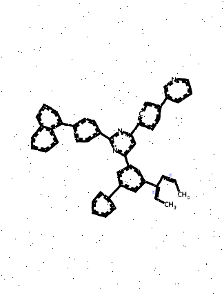 C/C=C\C(=C/C)c1cc(-c2ccccc2)cc(-c2cc(-c3ccc(-c4cccnc4)cc3)nc(-c3ccc(-c4cccc5ccccc45)cc3)n2)c1